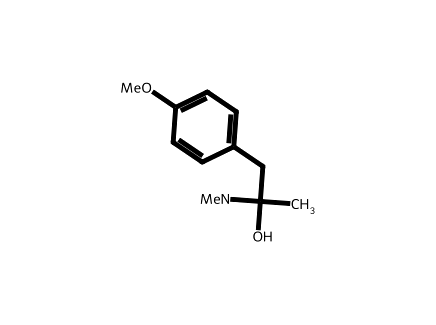 CNC(C)(O)Cc1ccc(OC)cc1